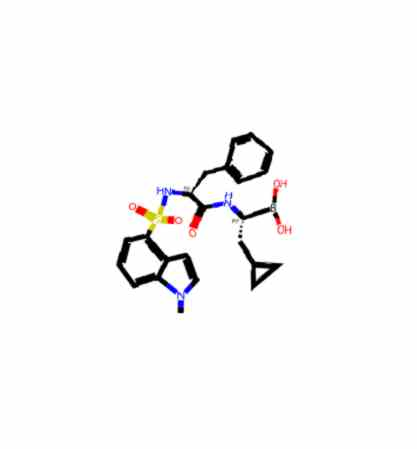 Cn1ccc2c(S(=O)(=O)N[C@@H](Cc3ccccc3)C(=O)N[C@@H](CC3CC3)B(O)O)cccc21